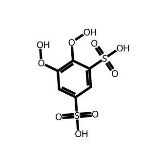 O=S(=O)(O)c1cc(OO)c(OO)c(S(=O)(=O)O)c1